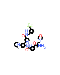 C[C@H]1CCCCN1c1ccc(NC(=O)c2cccc(C(=O)C(C)(N)CCN3CCOCC3)c2)c(-c2cc(C(=O)NCc3cccc(C(F)(F)F)c3)ccn2)c1